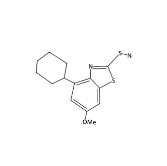 COc1cc(C2CCCCC2)c2nc(S[N])sc2c1